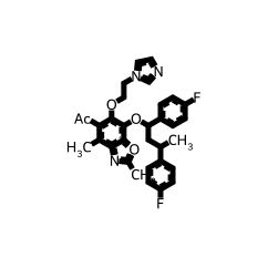 CC(=O)c1c(OCCn2ccnc2)c(OC(CC(C)c2ccc(F)cc2)c2ccc(F)cc2)c2oc(C)nc2c1C